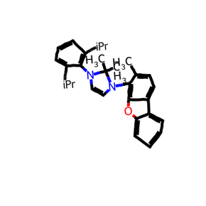 Cc1ccc2c(oc3ccccc32)c1N1C=CN(c2c(C(C)C)cccc2C(C)C)C1(C)C